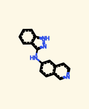 c1ccc2c(Nc3ccc4cnccc4c3)n[nH]c2c1